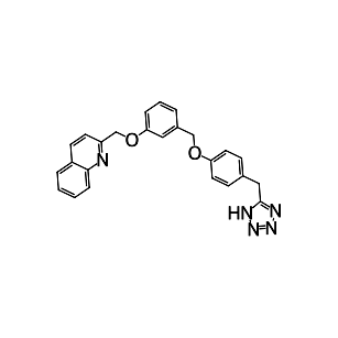 c1cc(COc2ccc(Cc3nnn[nH]3)cc2)cc(OCc2ccc3ccccc3n2)c1